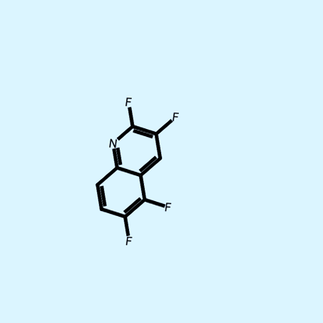 Fc1cc2c(F)c(F)ccc2nc1F